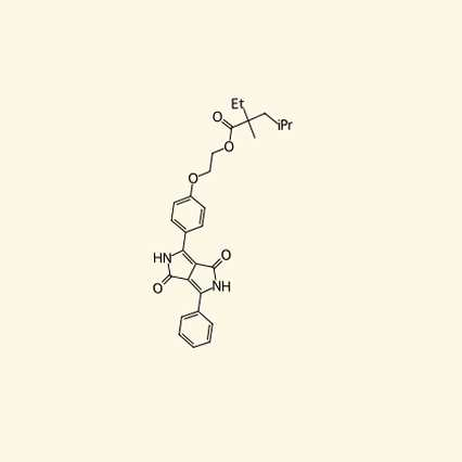 CCC(C)(CC(C)C)C(=O)OCCOc1ccc(C2=C3C(=O)NC(c4ccccc4)=C3C(=O)N2)cc1